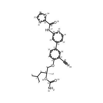 CC(C)C[C@@](C)(COc1ccc(-c2ccnc(NC(=O)c3nccs3)c2)cc1C#N)OC(N)=O